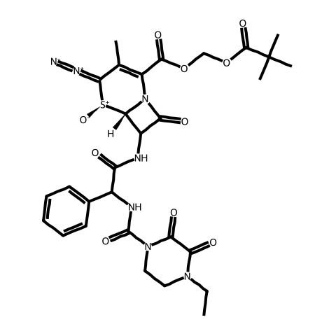 CCN1CCN(C(=O)NC(C(=O)NC2C(=O)N3C(C(=O)OCOC(=O)C(C)(C)C)=C(C)C(=[N+]=[N-])[S@+]([O-])[C@@H]23)c2ccccc2)C(=O)C1=O